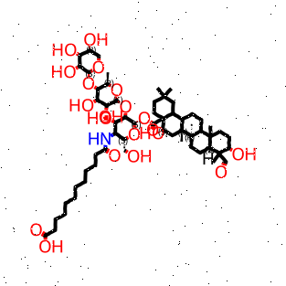 C[C@H]1O[C@@H](OC2C(O)C(NC(=O)CCCCCCCCCCC(=O)O)[C@@H](CO)O[C@H]2OC(=O)C23CCC(C)(C)CC2C2CCC4C5(C)CCC(O)C(C)(C=O)[C@H]5CC[C@@]4(C)[C@]2(C)C[C@@H]3O)C(O)C(O)C1O[C@@H]1OC[C@@H](O)C(O)C1O